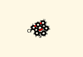 Clc1cccc2c1-c1ccc3sc4ccccc4c3c1C21c2ccccc2C2(c3ccccc3-c3ccccc32)c2ccccc21